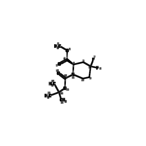 COC(=O)[C@H]1CC(F)(F)CCN1C(=O)OC(C)(C)C